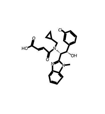 Cn1c([C@@H]([C@@H](O)c2cccc(Cl)c2)N(CC2CC2)C(=O)/C=C/C(=O)O)nc2ccccc21